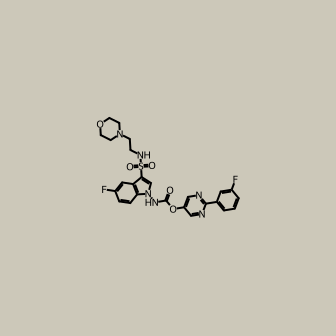 O=C(Nn1cc(S(=O)(=O)NCCN2CCOCC2)c2cc(F)ccc21)Oc1cnc(-c2cccc(F)c2)nc1